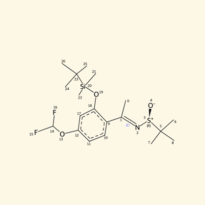 C/C(=N\[S@@+]([O-])C(C)(C)C)c1ccc(OC(F)F)cc1O[Si](C)(C)C(C)(C)C